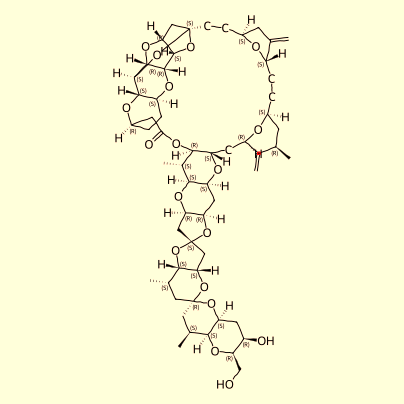 C=C1C[C@@H]2CC[C@@]34C[C@H]5O[C@H]6[C@@H](O3)[C@H]3O[C@H](CC[C@@H]3O[C@H]6[C@H]5O4)CC(=O)O[C@@H]3[C@@H](C)[C@@H]4O[C@@H]5C[C@]6(C[C@@H]7O[C@]8(C[C@H](C)[C@@H]9O[C@H](CO)[C@H](O)C[C@@H]9O8)C[C@H](C)[C@@H]7O6)O[C@@H]5C[C@@H]4O[C@H]3C[C@H]3O[C@@H](CC[C@@H]1O2)C[C@@H](C)C3=C